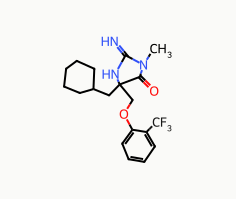 CN1C(=N)NC(COc2ccccc2C(F)(F)F)(CC2CCCCC2)C1=O